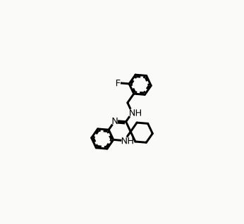 Fc1ccccc1CNC1=Nc2ccccc2NC12CCCCC2